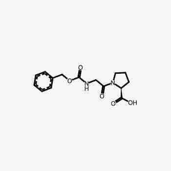 O=C(NCC(=O)N1CCC[C@H]1C(=O)O)OCc1ccccc1